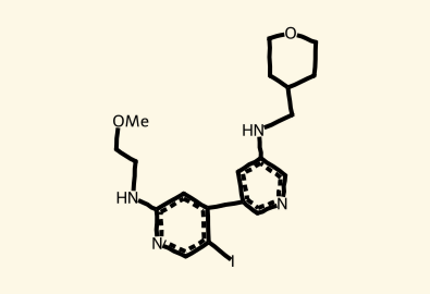 COCCNc1cc(-c2cncc(NCC3CCOCC3)c2)c(I)cn1